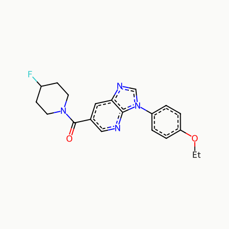 CCOc1ccc(-n2cnc3cc(C(=O)N4CCC(F)CC4)cnc32)cc1